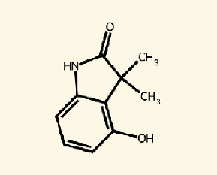 CC1(C)C(=O)Nc2cccc(O)c21